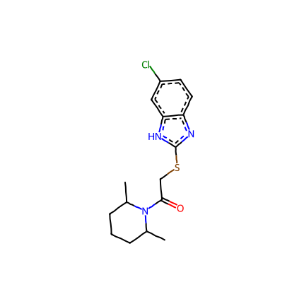 CC1CCCC(C)N1C(=O)CSc1nc2ccc(Cl)cc2[nH]1